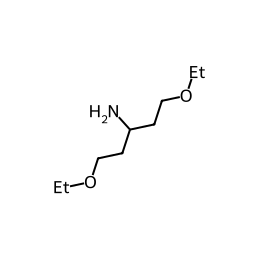 CCOCCC(N)CCOCC